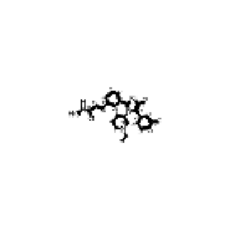 CCN1CCC[C@@H](n2c(-c3cccc(/C=C/C(=O)NO)c3)nc(C)c2-c2cccc(F)c2)C1